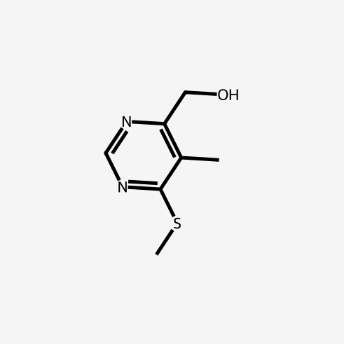 CSc1ncnc(CO)c1C